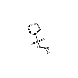 O=S(=O)(N[NH2+][O-])c1ccccc1